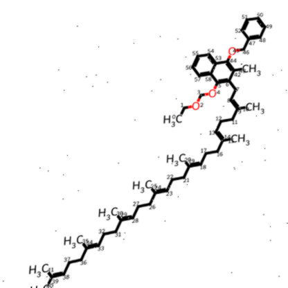 CCOCOc1c(C/C=C(\C)CC/C=C(\C)CC/C=C(\C)CC/C=C(\C)CC/C=C(\C)CC/C=C(\C)CCC=C(C)C)c(C)c(OCc2ccccc2)c2ccccc12